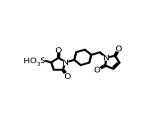 O=C1C=CC(=O)N1CC1CCC(N2C(=O)CC(S(=O)(=O)O)C2=O)CC1